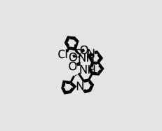 O=C(N[C@@H](Cc1ccccc1)c1ncccc1-c1ccc2ccncc2c1)NS(=O)(=O)c1ccccc1Cl